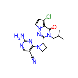 CC(C)Cn1c([C@@H]2CCN2c2nc(N)ncc2C#N)nn2ccc(Cl)c2c1=O